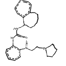 O=C(Nc1ccccc1NCCN1CCCC1)NC1CCCc2ccccc21